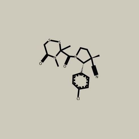 CN1C(=O)CSSC1(C)C(=O)N1CC[C@](C)(C#N)[C@@H]1c1ccc(Cl)cc1